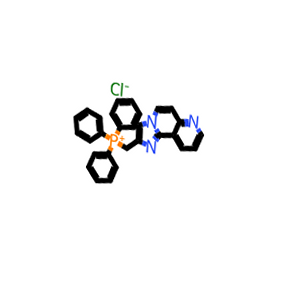 [Cl-].c1ccc([P+](Cc2cn3ccc4ncccc4c3n2)(c2ccccc2)c2ccccc2)cc1